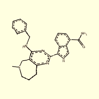 CN1CCCc2nc(-c3[nH]cc4c(C(N)=O)cccc34)nc(NCc3ccccc3)c2C1